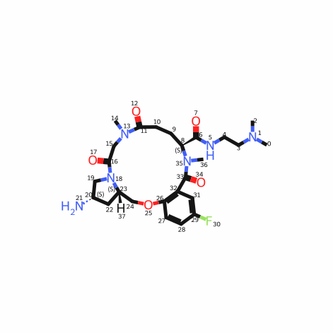 CN(C)CCNC(=O)[C@@H]1CCC(=O)N(C)CC(=O)N2C[C@@H](N)C[C@H]2COc2ccc(F)cc2C(=O)N1C